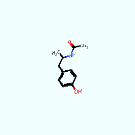 [CH2]C(Cc1ccc(O)cc1)NC(C)=O